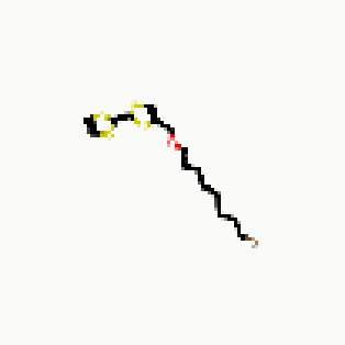 BrCCCCCCCCOCC1=CSC(=C2SC=CS2)S1